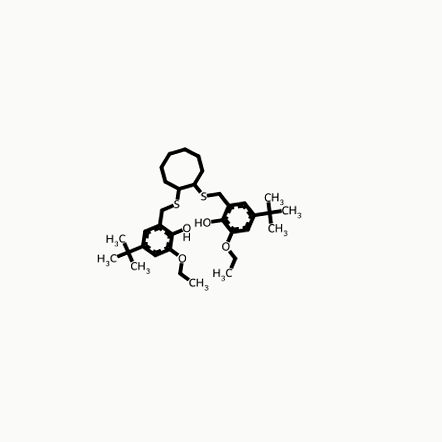 CCOc1cc(C(C)(C)C)cc(CSC2CCCCCCC2SCc2cc(C(C)(C)C)cc(OCC)c2O)c1O